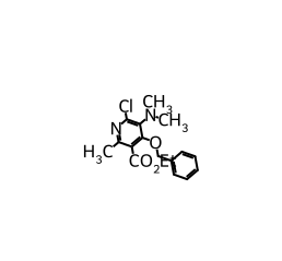 CCOC(=O)c1c(C)nc(Cl)c(N(C)C)c1OCc1ccccc1